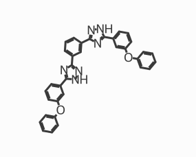 c1ccc(Oc2cccc(-c3nc(-c4cccc(-c5n[nH]c(-c6cccc(Oc7ccccc7)c6)n5)c4)n[nH]3)c2)cc1